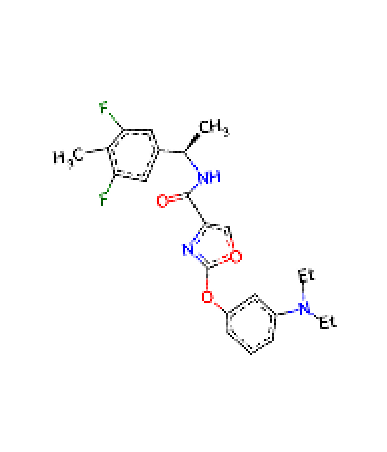 CCN(CC)c1cccc(Oc2nc(C(=O)N[C@H](C)c3cc(F)c(C)c(F)c3)co2)c1